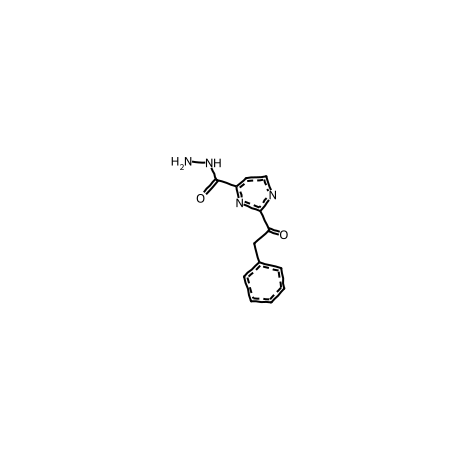 NNC(=O)c1ccnc(C(=O)Cc2ccccc2)n1